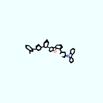 C/C=C(\C=C(/C)c1cccc2c1oc1ccc(-c3cccc(-c4ccc(-c5cccc(C)c5)cc4)c3)cc12)n1c2ccccc2c2ccccc21